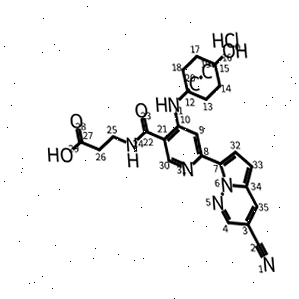 Cl.N#Cc1cnn2c(-c3cc(NC45CCC(O)(CC4)CC5)c(C(=O)NCCC(=O)O)cn3)ccc2c1